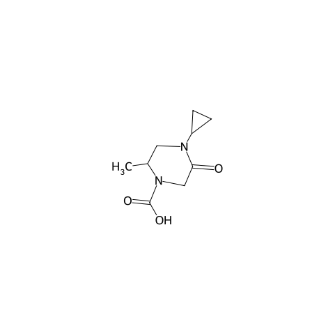 CC1CN(C2CC2)C(=O)CN1C(=O)O